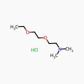 CCOCCOCCN(C)C.Cl